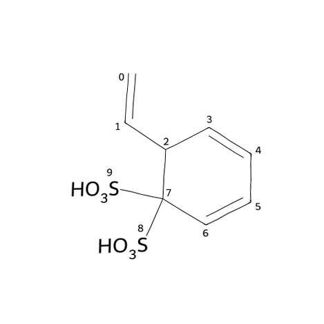 C=CC1C=CC=CC1(S(=O)(=O)O)S(=O)(=O)O